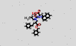 CC(C)CN(CC(CCc1ccccc1)C(=O)OCc1ccccc1)C(=O)N[C@@H](Cc1cccc2ccccc12)C(=O)O